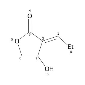 CCC=C1C(=O)OCC1O